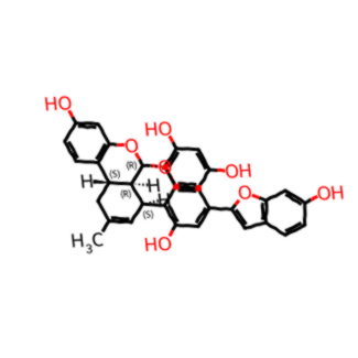 CC1=C[C@@H]2c3c(O)cc(-c4cc5ccc(O)cc5o4)cc3O[C@]3(c4ccc(O)cc4O)Oc4cc(O)ccc4[C@@H](C1)[C@H]23